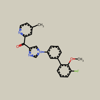 COc1c(F)cccc1-c1cccc(-n2cnc(C(=O)c3cc(C)ccn3)c2)c1